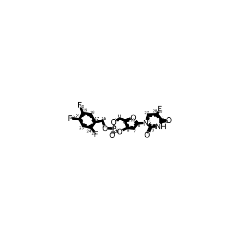 O=c1[nH]c(=O)n(-c2cc3c(o2)COP(=O)(OCc2cc(F)c(F)cc2F)O3)cc1F